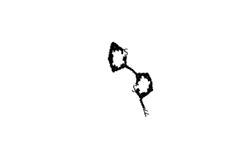 Fc1ccc(-c2cccs2)s1